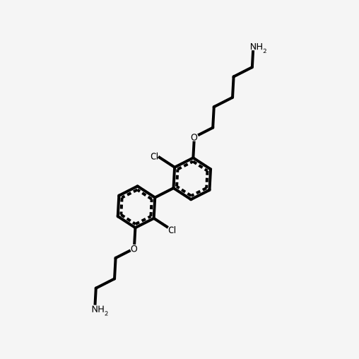 NCCCCCOc1cccc(-c2cccc(OCCCN)c2Cl)c1Cl